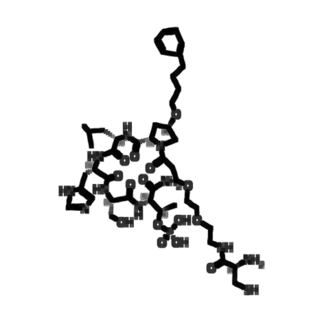 CC(C)C[C@H](NC(=O)[C@@H]1C[C@@H](OCCCCc2ccccc2)CN1C(=O)CCOCCOCCNC(=O)[C@@H](N)CS)C(=O)N[C@@H](Cc1cnc[nH]1)C(=O)N[C@@H](CO)C(=O)N[C@H](C(N)=O)[C@@H](C)OP(=O)(O)O